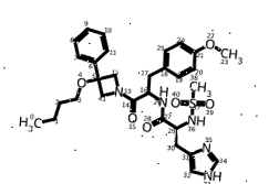 CCCCOC1(c2ccccc2)CN(C(=O)C(Cc2ccc(OC)cc2)NC(=O)[C@H](Cc2c[nH]cn2)NS(C)(=O)=O)C1